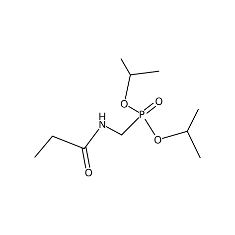 CCC(=O)NCP(=O)(OC(C)C)OC(C)C